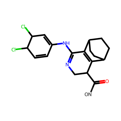 O=NC(=O)C1CN=C(NC2=CC(Cl)C(Cl)C=C2)C2=C1C1CCC2CC1